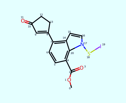 COC(=O)c1ccc(C2=CC(=O)CC2)c2ccn(SI)c12